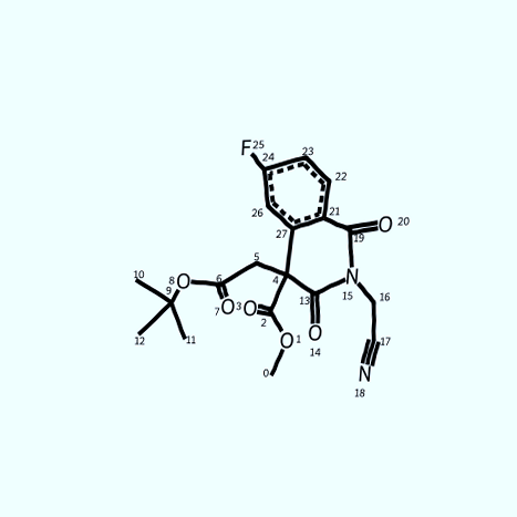 COC(=O)C1(CC(=O)OC(C)(C)C)C(=O)N(CC#N)C(=O)c2ccc(F)cc21